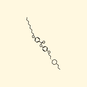 CCCCCCCCCOc1ccc(C(=O)Oc2ccc(OCCC[C@H]3CC[C@H](CCC)CC3)cc2)cc1